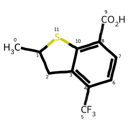 CC1Cc2c(C(F)(F)F)ccc(C(=O)O)c2S1